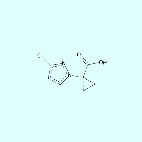 O=C(O)C1(n2ccc(Cl)n2)CC1